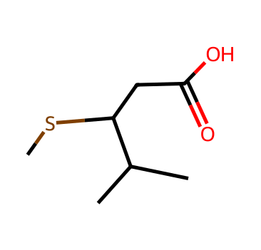 CSC(CC(=O)O)C(C)C